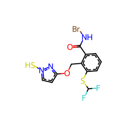 O=C(NBr)c1cccc(SC(F)F)c1COc1ccn(S)n1